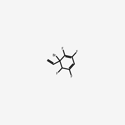 C=CC1(Br)C(F)=C(F)C=C(F)C1F